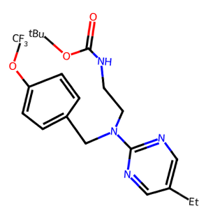 CCc1cnc(N(CCNC(=O)OC(C)(C)C)Cc2ccc(OC(F)(F)F)cc2)nc1